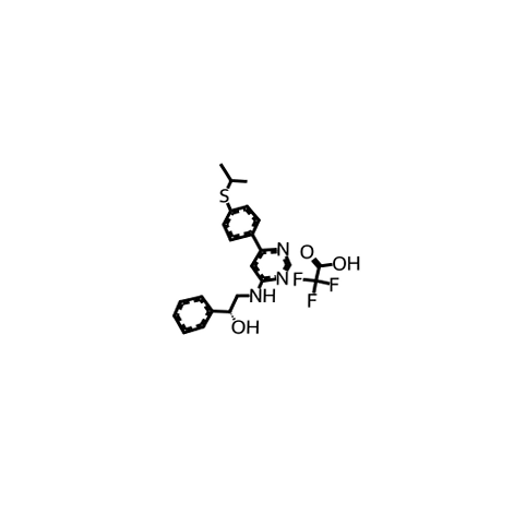 CC(C)Sc1ccc(-c2cc(NC[C@H](O)c3ccccc3)ncn2)cc1.O=C(O)C(F)(F)F